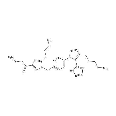 CCCCCc1ccn(-c2ccc(Cn3nc(C(=O)CCC)nc3CCCC)cc2)c1-c1nnn[nH]1